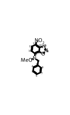 CON(Cc1ccccc1)c1ccc([N+](=O)[O-])c2nnoc12